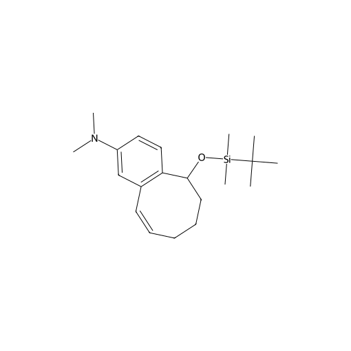 CN(C)c1ccc2c(c1)C=CCCCC2O[Si](C)(C)C(C)(C)C